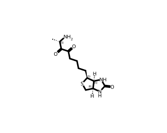 C[C@H](N)C(=O)C(=O)CCCC[C@@H]1SC[C@@H]2NC(=O)N[C@@H]21